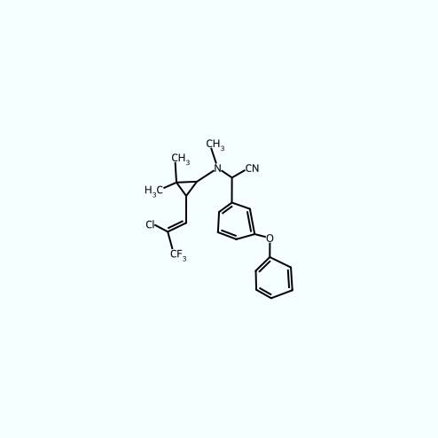 CN(C(C#N)c1cccc(Oc2ccccc2)c1)C1C(C=C(Cl)C(F)(F)F)C1(C)C